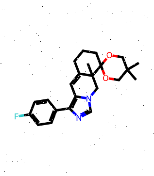 CC1(C)COC2(CCCC3=Cc4c(-c5ccc(F)cc5)ncn4CC32C)OC1